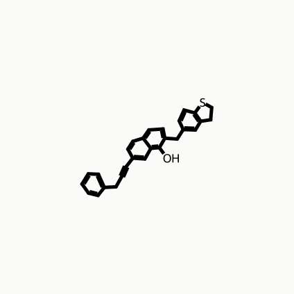 Oc1c(Cc2ccc3c(c2)CCS3)ccc2ccc(C#CCc3ccccc3)cc12